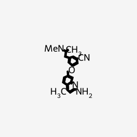 CNC(C)Cc1cc(C#N)cc(OCc2ccc3c(C)cc(N)nc3c2)c1